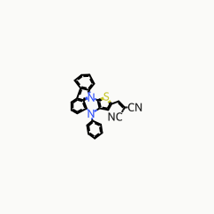 N#CC(C#N)=Cc1cc2c(s1)-n1c3ccccc3c3cccc(c31)N2c1ccccc1